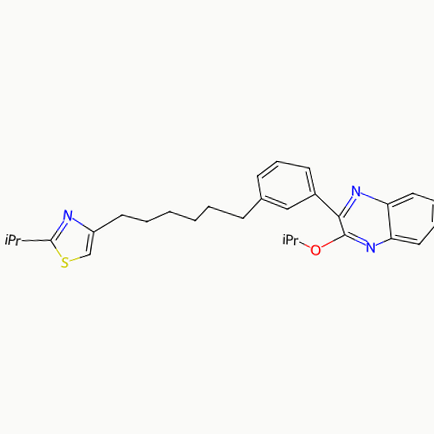 CC(C)Oc1nc2ccccc2nc1-c1cccc(CCCCCCc2csc(C(C)C)n2)c1